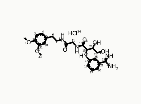 COc1ccc(CCNC(=O)CNC(=O)C(Nc2cccc(C(=N)N)c2)C(O)CO)cc1OC.Cl